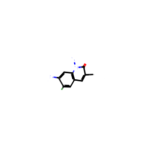 Nc1cc2c(cc1F)cc(C(=O)O)c(=O)n2N